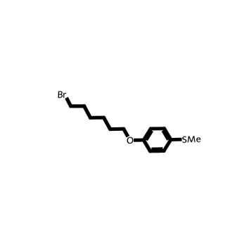 CSc1ccc(OCCCCCCBr)cc1